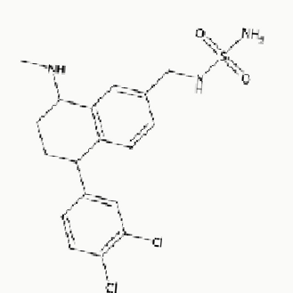 CNC1CCC(c2ccc(Cl)c(Cl)c2)c2ccc(CNS(N)(=O)=O)cc21